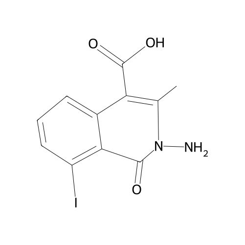 Cc1c(C(=O)O)c2cccc(I)c2c(=O)n1N